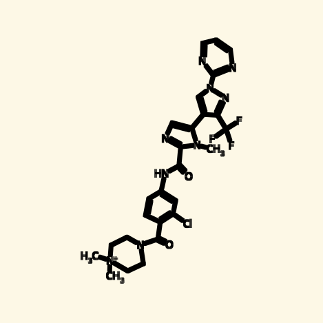 Cn1c(-c2cn(-c3ncccn3)nc2C(F)(F)F)cnc1C(=O)Nc1ccc(C(=O)N2CC[N+](C)(C)CC2)c(Cl)c1